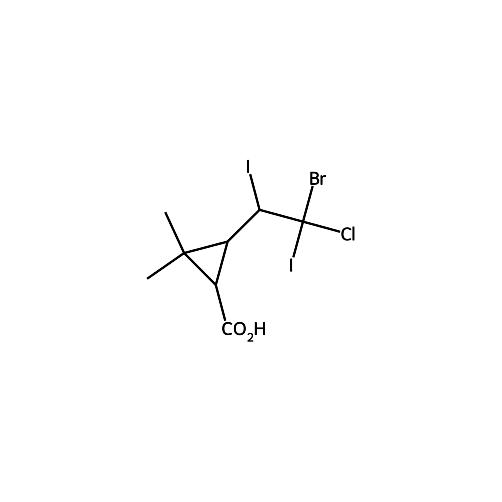 CC1(C)C(C(=O)O)C1C(I)C(Cl)(Br)I